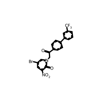 O=C(Cn1cc(Br)cc([N+](=O)[O-])c1=O)c1ccc(-c2cccc(C(F)(F)F)c2)cc1